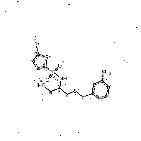 Cc1cccc(CSCC(CO)NS(=O)(=O)c2ccc(Br)s2)c1